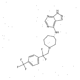 FC(F)(F)c1ccc(C(F)(F)CN2CCC[C@H](Nc3ncnc4[nH]ncc34)CC2)cc1